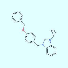 CCN1[CH]N(Cc2ccc(OCc3ccccc3)cc2)c2ccccc21